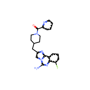 Nc1nc2c(F)cccc2c2nc(CC3CCN(C(=O)c4ccccn4)CC3)cn12